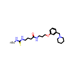 CCCCNC(=S)NCCCC(=O)NCCCOc1cccc(CN2CCCCC2)c1